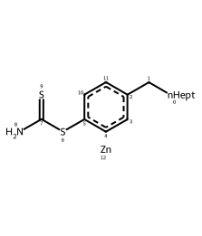 CCCCCCCCc1ccc(SC(N)=S)cc1.[Zn]